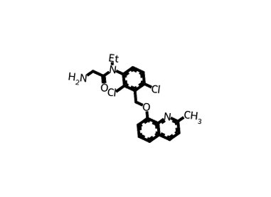 CCN(C(=O)CN)c1ccc(Cl)c(COc2cccc3ccc(C)nc23)c1Cl